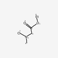 CCOC(=O)CN(C)Cl